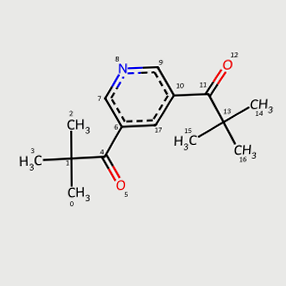 CC(C)(C)C(=O)c1cncc(C(=O)C(C)(C)C)c1